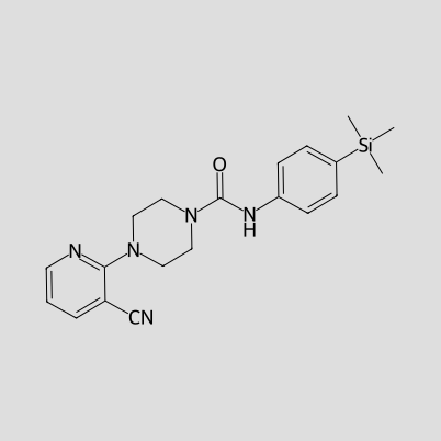 C[Si](C)(C)c1ccc(NC(=O)N2CCN(c3ncccc3C#N)CC2)cc1